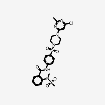 Cc1nc(Cl)cc(N2CCN(S(=O)(=O)c3ccc(NC(=O)c4ccccc4N(C)S(C)(=O)=O)cc3)CC2)n1